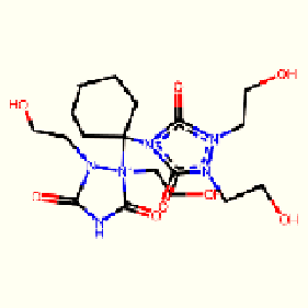 O=C1NC(=O)[N+](CCO)(C2(n3c(=O)n(CCO)n(CCO)c3=O)CC[CH]CC2)N1CCO